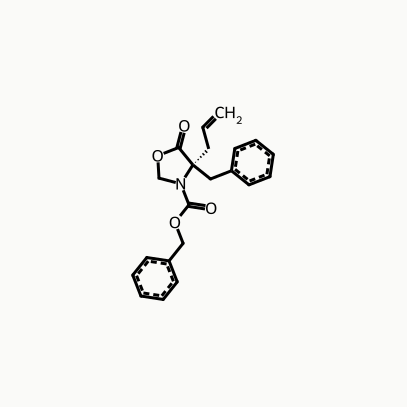 C=CC[C@@]1(Cc2ccccc2)C(=O)OCN1C(=O)OCc1ccccc1